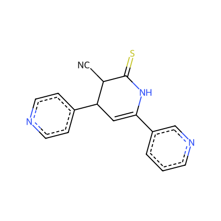 N#CC1C(=S)NC(c2cccnc2)=CC1c1ccncc1